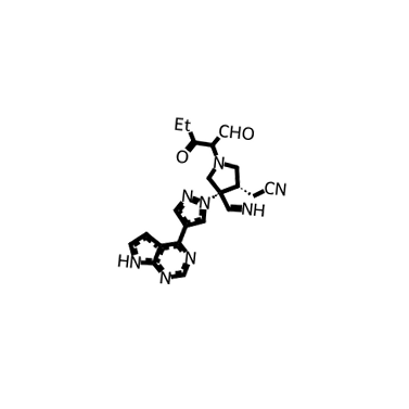 CCC(=O)C(C=O)N1C[C@H](CC#N)[C@](C=N)(n2cc(-c3ncnc4[nH]ccc34)cn2)C1